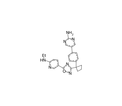 CCNc1ccc(-c2nc(C3(c4ccc(-c5cnc(N)nc5)cc4)CCC3)no2)cn1